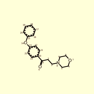 O=C(CCN1CCOCC1)c1ccc(Oc2ccccc2)cc1